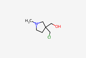 CN1CCC(CO)(CCl)C1